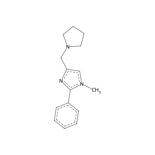 Cn1cc(CN2CCCC2)nc1-c1ccccc1